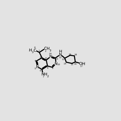 CC(C)c1cnc(N)c2cnc(NC3CCC(O)CC3)nc12